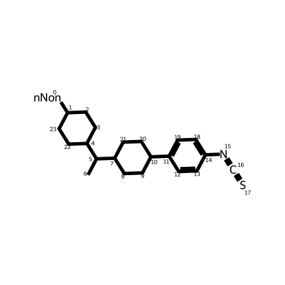 CCCCCCCCCC1CCC(C(C)C2CCC(c3ccc(N=C=S)cc3)CC2)CC1